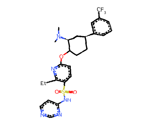 CCc1nc(OC2CC[C@H](c3cccc(C(F)(F)F)c3)C[C@@H]2N(C)C)ccc1S(=O)(=O)Nc1ccncn1